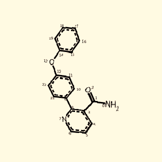 NC(=O)c1cccnc1-c1ccc(Oc2ccccc2)cc1